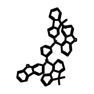 CC1(C)c2ccccc2-c2ccc(N(c3cccc(N(c4ccc5c(c4)oc4ccccc45)c4cccc5c4-c4ccccc4C5(C)C)c3)c3cccc4oc5ccccc5c34)cc21